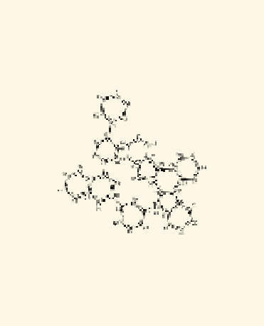 c1ccc(-c2ccc(-c3nc(-c4cccc(-n5c6ccccc6c6c7ccccc7c7c8ccccc8sc7c65)c4)nc4cccnc34)cc2)cc1